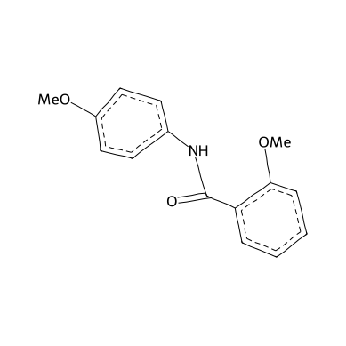 COc1ccc(NC(=O)c2ccccc2OC)cc1